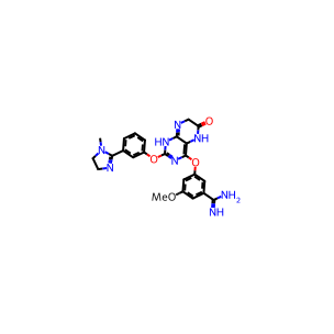 COc1cc(OC2=C3NC(=O)CN=C3NC(Oc3cccc(C4=NCCN4C)c3)=N2)cc(C(=N)N)c1